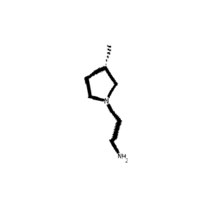 C[C@H]1CCN(CCN)C1